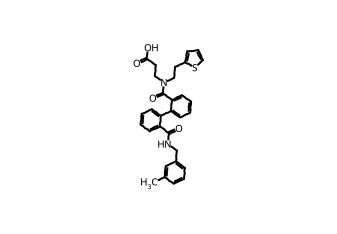 Cc1cccc(CNC(=O)c2ccccc2-c2ccccc2C(=O)N(CCC(=O)O)CCc2cccs2)c1